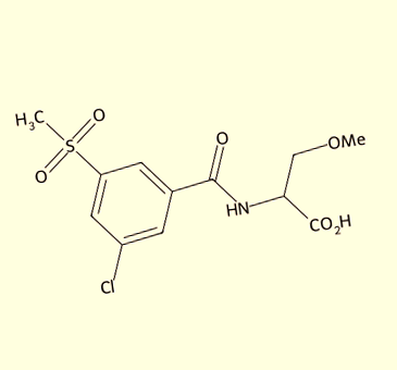 COCC(NC(=O)c1cc(Cl)cc(S(C)(=O)=O)c1)C(=O)O